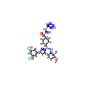 COC1=CC=C(c2cc(-c3cc(Cl)cc(Cl)c3)nn2Cc2ccc(C(=O)NCc3nnn[nH]3)cc2)NC1C